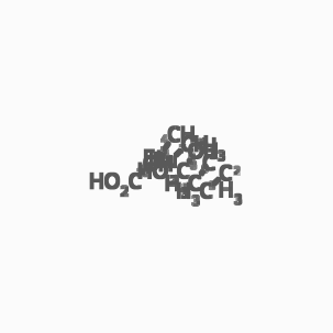 CC.CC.CCC.CCC(C)C.O=C(O)O.O=C(O)O